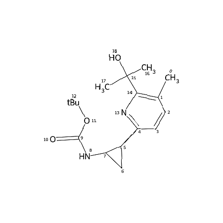 Cc1ccc(C2CC2NC(=O)OC(C)(C)C)nc1C(C)(C)O